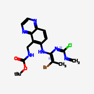 C=N/C(Cl)=N\C(Nc1ccc2nccnc2c1CNC(=O)OC(C)(C)C)=C(/C)Br